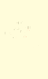 CC(C)(C)CC1(C(=O)OCOC2CC3CC2C2CCCCC32)CC1(C)C